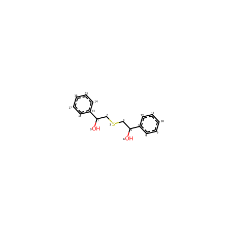 OC(CSCC(O)c1ccccc1)c1ccccc1